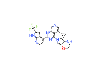 FC(F)(F)c1cc2c(-c3nc(N4C=C5OCCNC5C4)c4c(C5CC5)cncc4n3)ccnc2[nH]1